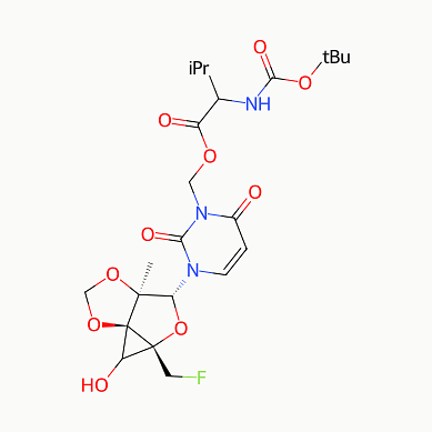 CC(C)C(NC(=O)OC(C)(C)C)C(=O)OCn1c(=O)ccn([C@@H]2O[C@]3(CF)C(O)[C@@]34OCO[C@@]24C)c1=O